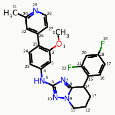 COc1cc(Nc2nc3n(n2)CCCC3c2ccc(F)cc2F)ccc1-c1ccnc(C)c1